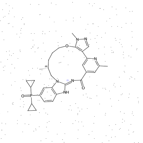 Cc1cc2cc(n1)-c1cnn(C)c1OCCC[C@@H](C)CN1/C(=N/C2=O)Nc2ccc(P(=O)(C3CC3)C3CC3)cc21